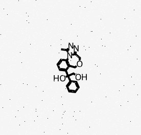 Cc1nnc2n1-c1cccc(C(O)(CO)c3ccccc3)c1COC2